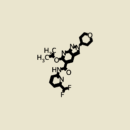 CC(C)Oc1nc2nn(C3CCOCC3)cc2cc1C(=O)Nc1cccc(C(F)F)n1